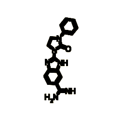 N=C(N)c1ccc2nc(N3CCN(c4ccccc4)C3=O)[nH]c2c1